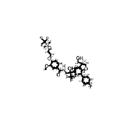 COc1cc(C(=O)NCC(O)(c2cc3c(c(-c4ccc(F)cc4)n2)OC[C@]3(C)CO)C(F)(F)F)ccc1OCCO[Si](C)(C)C(C)(C)C